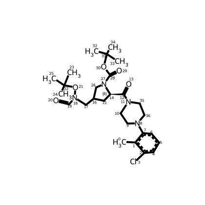 Cc1c(Cl)cccc1N1CCN(C(=O)[C@H]2CC(CN(C=O)OC(C)(C)C)CN2C(=O)OC(C)(C)C)CC1